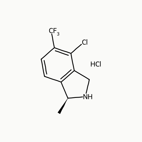 C[C@@H]1NCc2c1ccc(C(F)(F)F)c2Cl.Cl